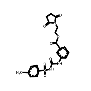 Cc1ccc(S(=O)(=O)NC(=O)Nc2cccc(C(=O)OCCN3C(=O)CCC3=O)c2)cc1